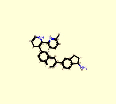 C=c1ccc(C2=C(c3cccc(C)n3)NC=CC2)c/c1=C/C(=C\C)c1ccc2c(c1)CCC2N